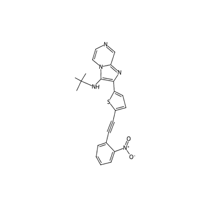 CC(C)(C)Nc1c(-c2ccc(C#Cc3ccccc3[N+](=O)[O-])s2)nc2cnccn12